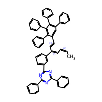 C\C=C/C=C(\C=C\c1cc(-c2ccccc2)c(-c2ccccc2)c(-c2ccccc2)c1-c1ccccc1)c1cccc(-c2nc(-c3ccccc3)nc(-c3ccccc3)n2)c1